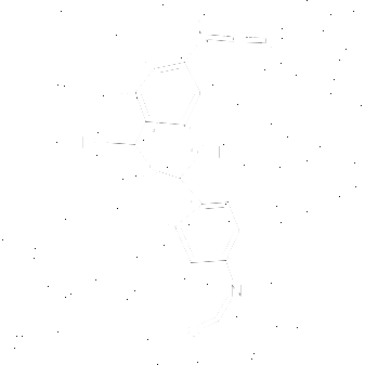 CC(SC(C)c1ccc(N=C=O)cc1)c1ccc(N=C=O)cc1